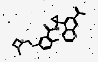 C=C(C)c1cc(C2(NC(=O)c3cc(OC[C@@H]4CCN4C)ccc3C)CC2)c2cccnc2c1